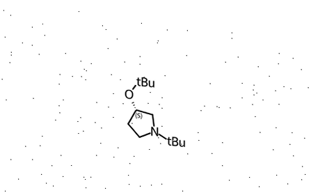 CC(C)(C)O[C@H]1CCN(C(C)(C)C)C1